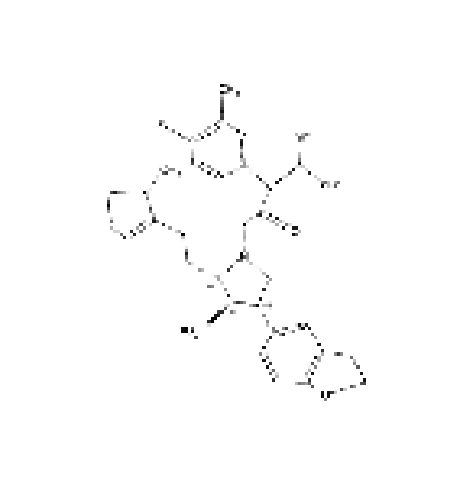 CCCC(CCC)N(C(=O)CN1C[C@H](c2ccc3c(c2)CCO3)[C@@H](C(=O)O)[C@@H]1CCc1cccn1C)c1ccc(F)c(C)c1